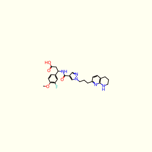 COc1ccc(C(CC(=O)O)NC(=O)c2cnn(CCCc3ccc4c(n3)NCCC4)c2)cc1F